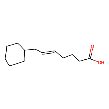 O=C(O)CCCC=CCC1CCCCC1